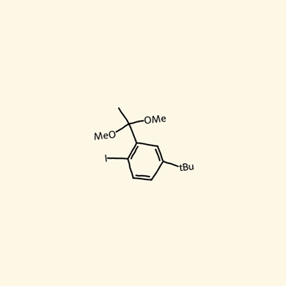 COC(C)(OC)c1cc(C(C)(C)C)ccc1I